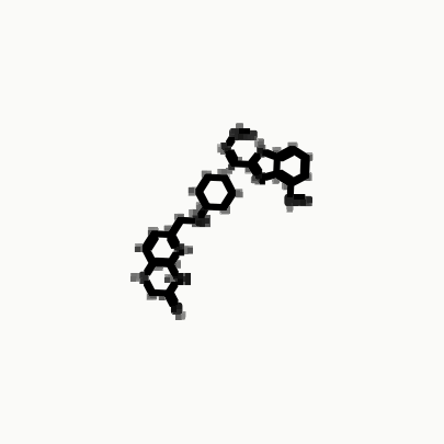 CON=C(c1nc2c(OC)cccc2s1)[C@H]1CC[C@H](NCc2ccc3c(n2)NC(=O)CS3)CC1